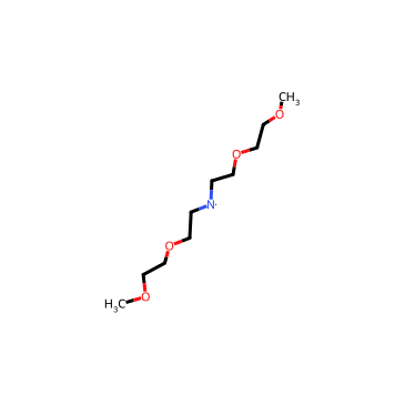 COCCOCC[N]CCOCCOC